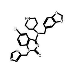 O=c1nc(N(Cc2ccc3c(c2)OCO3)C2CCNCC2)c2cc(Cl)ccc2n1Cc1cncs1